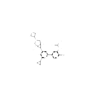 Nc1ncc(-c2cc(C3[C@H]4CN(C5COC5)C[C@@H]34)cc(C3CC3)n2)cc1OC(F)F